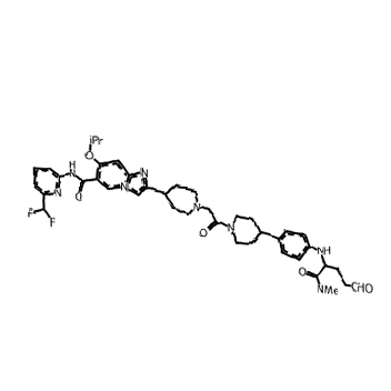 CNC(=O)C(CCC=O)Nc1ccc(C2CCN(C(=O)CN3CCC(c4cn5cc(C(=O)Nc6cccc(C(F)F)n6)c(OC(C)C)cc5n4)CC3)CC2)cc1